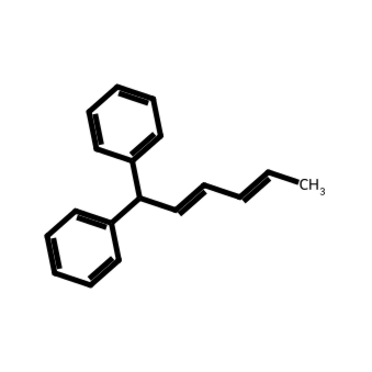 CC=CC=CC(c1ccccc1)c1ccccc1